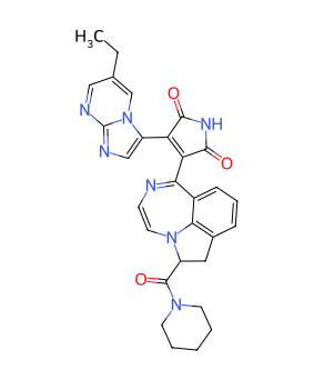 CCc1cnc2ncc(C3=C(C4=NC=CN5c6c(cccc64)CC5C(=O)N4CCCCC4)C(=O)NC3=O)n2c1